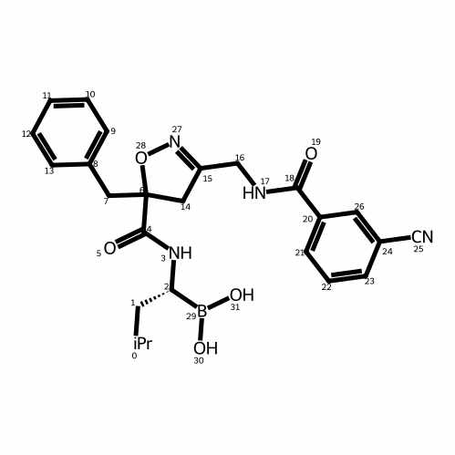 CC(C)C[C@H](NC(=O)C1(Cc2ccccc2)CC(CNC(=O)c2cccc(C#N)c2)=NO1)B(O)O